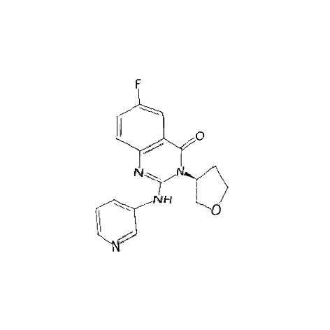 O=c1c2cc(F)ccc2nc(Nc2cccnc2)n1[C@H]1CCOC1